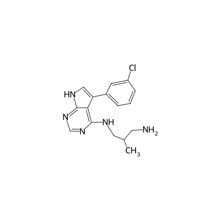 CC(CN)CNc1ncnc2[nH]cc(-c3cccc(Cl)c3)c12